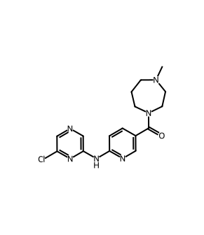 CN1CCCN(C(=O)c2ccc(Nc3cncc(Cl)n3)nc2)CC1